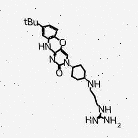 CC(C)(C)c1ccc2c(c1)Nc1nc(=O)n([C@H]3CC[C@H](NCCCNC(=N)N)CC3)cc1O2